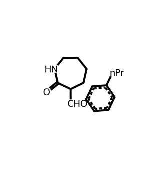 CCCc1ccccc1.O=CC1CCCCNC1=O